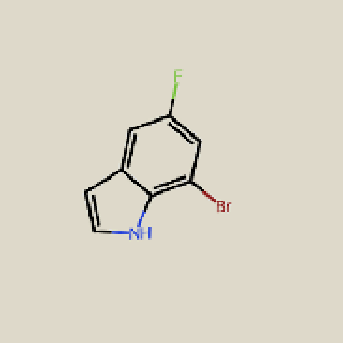 Fc1cc(Br)c2[nH]ccc2c1